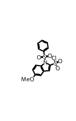 COc1ccc2c(c1)cc(S(=O)(=O)Cl)n2S(=O)(=O)c1ccccc1